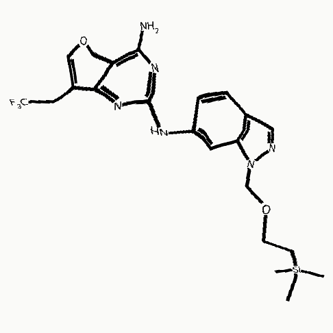 C[Si](C)(C)CCOCn1ncc2ccc(Nc3nc(N)c4occ(CC(F)(F)F)c4n3)cc21